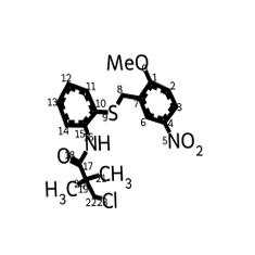 COc1ccc([N+](=O)[O-])cc1CSc1ccccc1NC(=O)C(C)(C)CCl